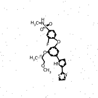 CNS(=O)(=O)c1ccc(Oc2cc(O[C@@H](C)COC)cc(-c3ccc(-c4nccs4)[nH]3)c2)c(F)c1